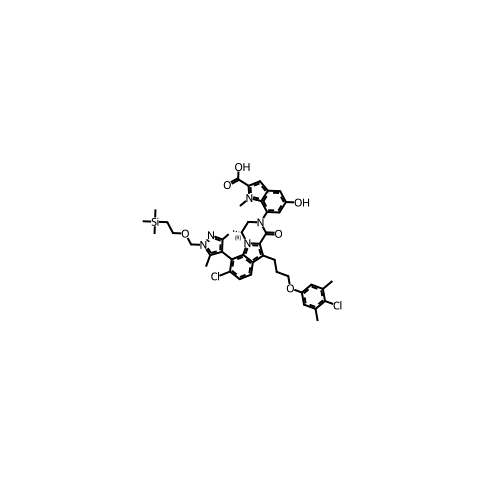 Cc1cc(OCCCc2c3n(c4c(-c5c(C)nn(COCC[Si](C)(C)C)c5C)c(Cl)ccc24)[C@H](C)CN(c2cc(O)cc4cc(C(=O)O)n(C)c24)C3=O)cc(C)c1Cl